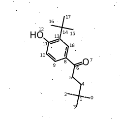 CC(C)(C)CCC(=O)c1ccc(O)c(C(C)(C)C)c1